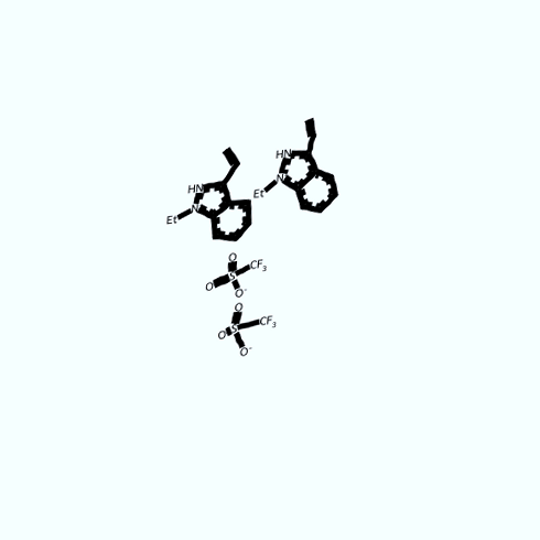 C=Cc1[nH][n+](CC)c2ccccc12.C=Cc1[nH][n+](CC)c2ccccc12.O=S(=O)([O-])C(F)(F)F.O=S(=O)([O-])C(F)(F)F